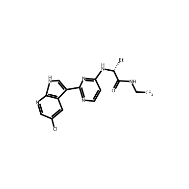 CC[C@@H](Nc1ccnc(-c2c[nH]c3ncc(Cl)cc23)n1)C(=O)NCC(F)(F)F